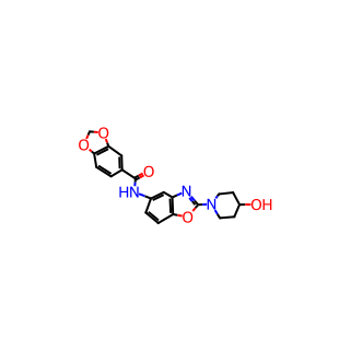 O=C(Nc1ccc2oc(N3CCC(O)CC3)nc2c1)c1ccc2c(c1)OCO2